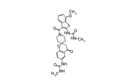 CNC(=O)Nc1ccc2c(c1)C(=O)CC1(CCN(C(=O)c3c(NC(=O)NC)sc4c(OC)cccc34)CC1)O2